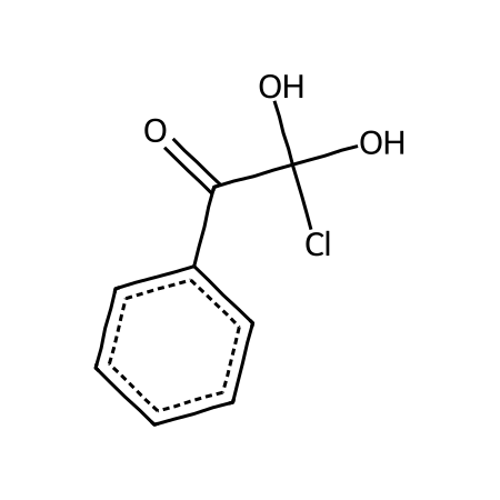 O=C(c1ccccc1)C(O)(O)Cl